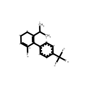 CC(C)C1=C(c2ccc(C(F)(F)F)cc2)C(F)=CC[CH]1